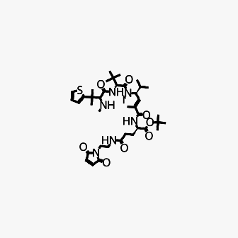 CNC(C(=O)N[C@H](C(=O)N(I)[C@H](/C=C(\C)C(=O)N[C@H](CCC(=O)NCCN1C(=O)C=CC1=O)C(=O)OC(C)(C)C)C(C)C)C(C)(C)C)C(C)(C)c1cccs1